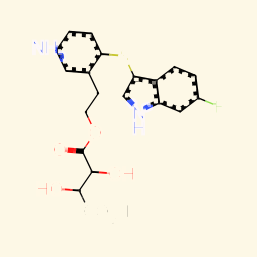 N.O=C(O)C(O)C(O)C(=O)OCCc1ccccc1Sc1c[nH]c2cc(F)ccc12